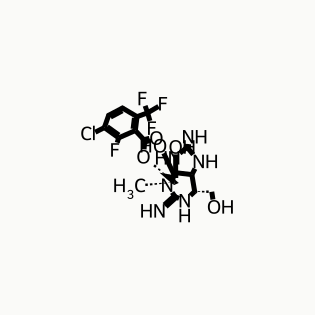 C[C@H]1[C@H](OC(=O)c2c(C(F)(F)F)ccc(Cl)c2F)C(O)(O)[C@]23NC(=N)NC2[C@H](CO)NC(=N)N13